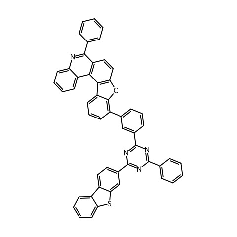 c1ccc(-c2nc(-c3cccc(-c4cccc5c4oc4ccc6c(-c7ccccc7)nc7ccccc7c6c45)c3)nc(-c3ccc4c(c3)sc3ccccc34)n2)cc1